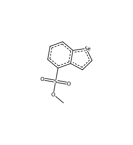 COS(=O)(=O)c1cccc2[se]ccc12